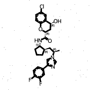 C[C@H](C[C@H]1CCC[C@@H]1NC(=O)[C@H]1C[C@@H](O)c2cc(Cl)ccc2O1)n1cnc(-c2ccc(F)c(F)c2)c1